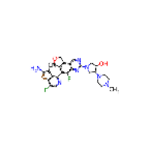 CN1CCN(C2CN(c3ncc4c5c(c(-c6ncc(F)c7sc(N)c(C#N)c67)c(F)c4n3)COC5)CC2O)CC1